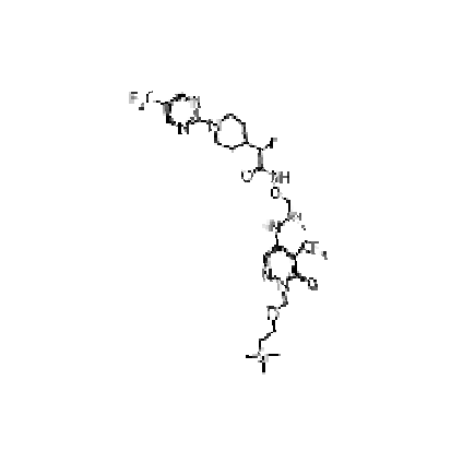 C[C@@H](CONC(=O)C(F)C1=CCN(c2ncc(C(F)(F)F)cn2)CC1)Nc1cnn(COCC[Si](C)(C)C)c(=O)c1C(F)(F)F